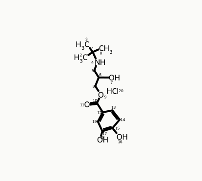 CC(C)(C)NCC(O)COC(=O)c1ccc(O)c(O)c1.Cl